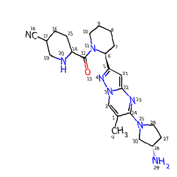 Cc1cn2nc([C@@H]3CCCCN3C(=O)C3CCC(C#N)CN3)cc2nc1N1CC[C@H](N)C1